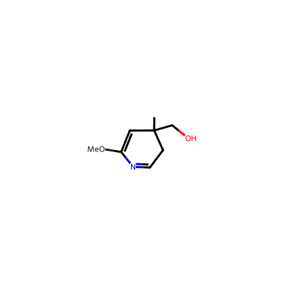 COC1=CC(C)(CO)CC=N1